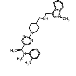 C=C(c1cnc(N2CCC(CNCc3cn(C)c4ccccc34)CC2)nc1)N(C)c1ccccc1N